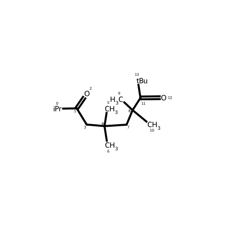 CC(C)C(=O)CC(C)(C)CC(C)(C)C(=O)C(C)(C)C